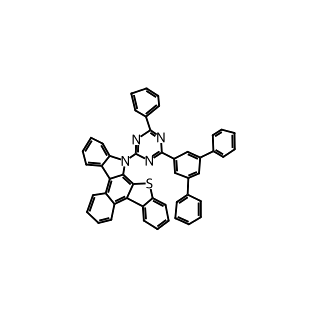 c1ccc(-c2cc(-c3ccccc3)cc(-c3nc(-c4ccccc4)nc(-n4c5ccccc5c5c6ccccc6c6c7ccccc7sc6c54)n3)c2)cc1